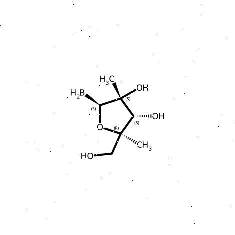 B[C@@H]1O[C@](C)(CO)[C@@H](O)[C@@]1(C)O